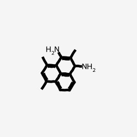 CC1=C(N)c2c(C)cc(C)c3cccc(c23)C1N